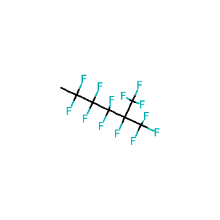 CC(F)(F)C(F)(F)C(F)(F)C(F)(C(F)(F)F)C(F)(F)F